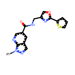 CC(C)n1ncc2cc(C(=O)NCc3coc(-c4cccs4)n3)cnc21